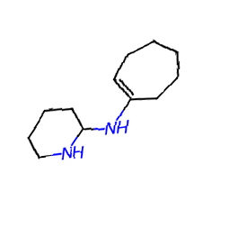 C1=C(NC2CCCCN2)CCCCC1